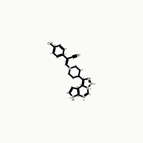 N#C/C(=C\N1CCC(c2nnn3cnc4[nH]ccc4c23)CC1)c1ccc(Cl)cc1